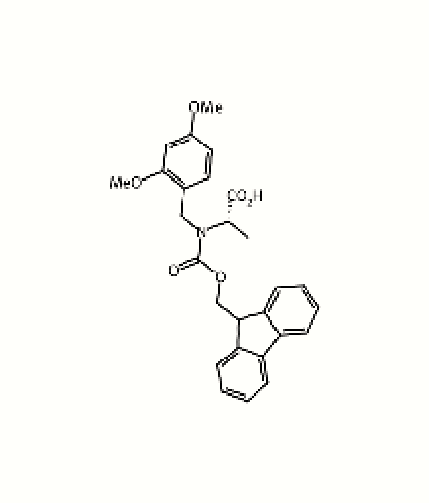 COc1ccc(CN(C(=O)OCC2c3ccccc3-c3ccccc32)[C@@H](C)C(=O)O)c(OC)c1